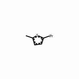 Cc1ccc(C(C)C)s1